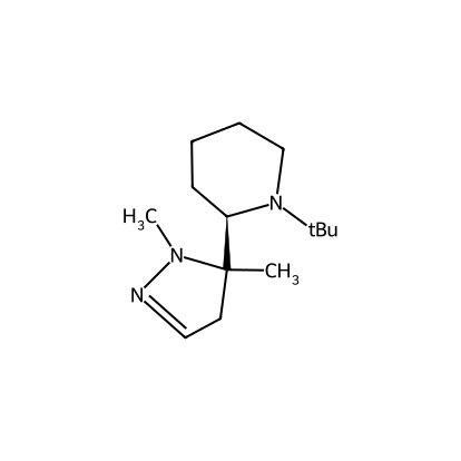 CN1N=CCC1(C)[C@H]1CCCCN1C(C)(C)C